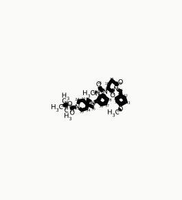 COc1ccc(CN2C(=O)CCC(n3c(=O)n(C)c4c(N5CC6(CCN(C(=O)OC(C)(C)C)CC6)C5)cccc43)C2=O)cc1